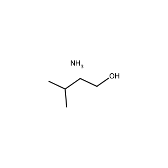 CC(C)CCO.N